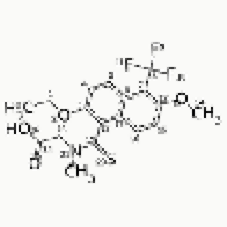 CCOc1ccc2c(C(F)(F)F)c(OC)ccc2c1C(=S)N(C)CC(=O)O